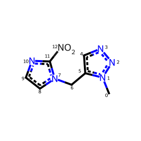 Cn1nncc1Cn1ccnc1[N+](=O)[O-]